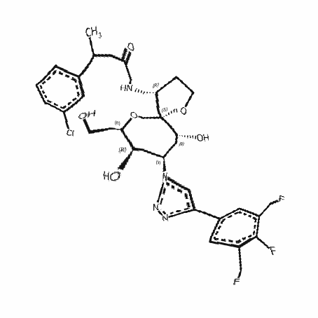 CC(C(=O)N[C@@H]1CCO[C@]12O[C@H](CO)[C@H](O)[C@H](n1cc(-c3cc(F)c(F)c(F)c3)nn1)[C@H]2O)c1cccc(Cl)c1